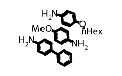 CCCCCCOc1ccc(N)cc1.COc1ccc(N)cc1.Nc1ccc(-c2ccccc2)cc1